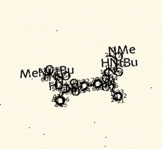 CN[C@@H](C)C(=O)N[C@H](C(=O)N1CCC[C@H]1CN(CCc1ccccc1)S(=O)(=O)c1ccc(-c2ccc(S(=O)(=O)N(CCc3ccccc3)C[C@@H]3CCCN3C(=O)[C@@H](NC(=O)[C@H](C)NC)C(C)(C)C)cc2)cc1)C(C)(C)C